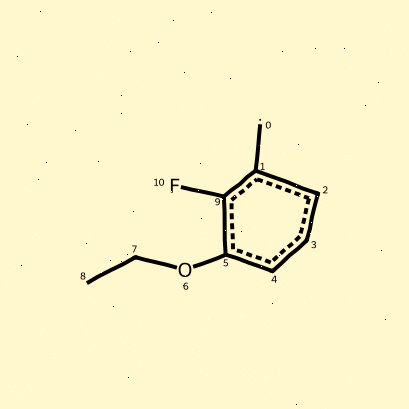 [CH2]c1cccc(OCC)c1F